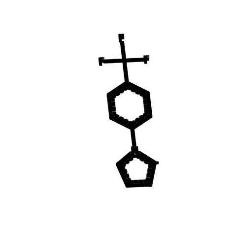 FC(F)(F)c1ccc(-n2[c]ccc2)cc1